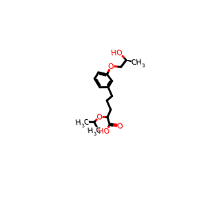 CC(C)OC(CCCc1cccc(OC[C@H](C)O)c1)C(=O)O